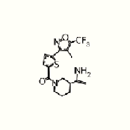 C=C(N)[C@H]1CCCN(C(=O)c2ccc(-c3noc(C(F)(F)F)c3C)s2)C1